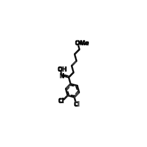 COCCCCCC(=NO)c1ccc(Cl)c(Cl)c1